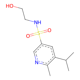 Cc1ncc(S(=O)(=O)NCCO)cc1C(C)C